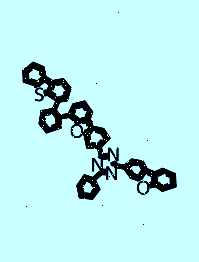 c1ccc(-c2nc(-c3ccc4c(c3)oc3ccccc34)nc(-c3ccc4c(c3)oc3c(-c5ccccc5-c5cccc6c5sc5ccccc56)cccc34)n2)cc1